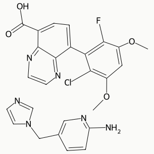 COc1cc(OC)c(Cl)c(-c2ccc(C(=O)O)c3nccnc23)c1F.Nc1ccc(Cn2ccnc2)cn1